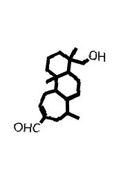 CC1CC(C=O)=CCC2C1CCC1C(C)(CO)CCCC21C